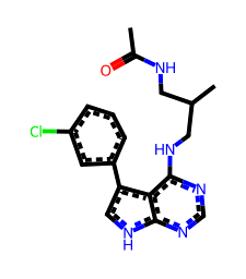 CC(=O)NCC(C)CNc1ncnc2[nH]cc(-c3cccc(Cl)c3)c12